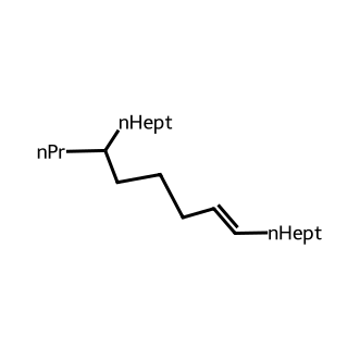 [CH2]CCCCCC/C=C/CCCC(CCC)CCCCCC[CH2]